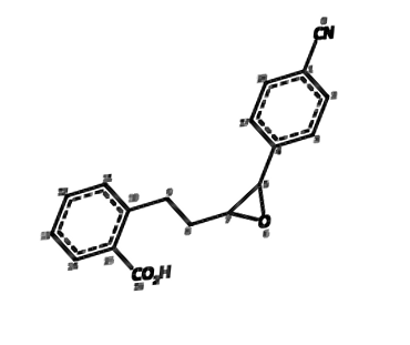 N#Cc1ccc(C2OC2CCc2ccccc2C(=O)O)cc1